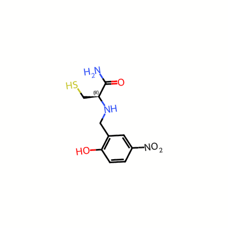 NC(=O)[C@H](CS)NCc1cc([N+](=O)[O-])ccc1O